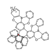 C=CC1=C(C=C)B2c3ccccc3Oc3c2c(cc(-n2c4ccccc4c4ccccc42)c3-c2c(-n3c4ccccc4c4ccccc43)cc3c4c2Oc2ccccc2B4c2ccccc2O3)O1